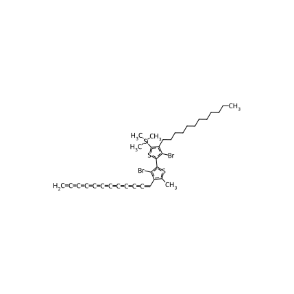 C=C=C=C=C=C=C=C=C=C=C=Cc1c(C)sc(-c2sc([Si](C)(C)C)c(CCCCCCCCCCCC)c2Br)c1Br